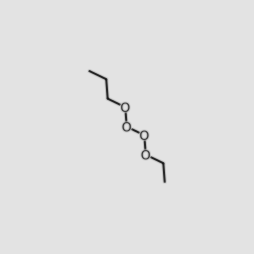 CCCOOOOCC